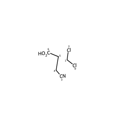 ClCCl.N#CCCC(=O)O